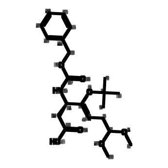 COC(CN=C(OC(C)(C)C)[C@@H](CC(=O)O)NC(=O)OCc1ccccc1)OC